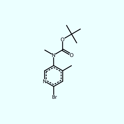 Cc1cc(Br)ncc1N(C)C(=O)OC(C)(C)C